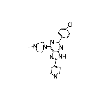 CN1CCN(c2nc(-c3ccc(Cl)cc3)nc3[nH]c(-c4ccncc4)nc23)CC1